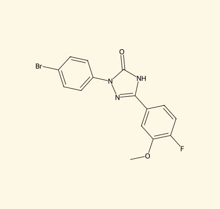 COc1cc(-c2nn(-c3ccc(Br)cc3)c(=O)[nH]2)ccc1F